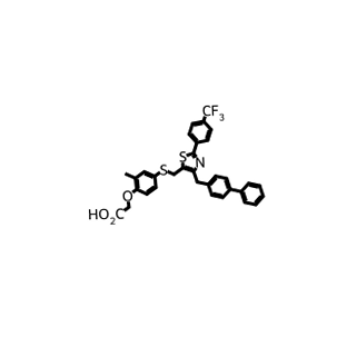 Cc1cc(SCc2sc(-c3ccc(C(F)(F)F)cc3)nc2Cc2ccc(-c3ccccc3)cc2)ccc1OCC(=O)O